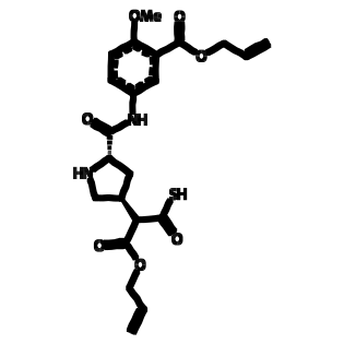 C=CCOC(=O)c1cc(NC(=O)[C@@H]2C[C@@H](C(C(=O)S)C(=O)OCC=C)CN2)ccc1OC